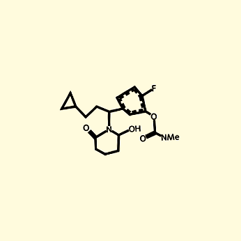 CNC(=O)Oc1cc(C(CCC2CC2)N2C(=O)CCCC2O)ccc1F